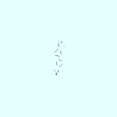 CCP(=O)(CC)Oc1ccc(-c2ccc(OP(=O)(CC)CC)cc2)cc1